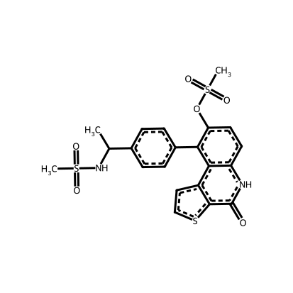 CC(NS(C)(=O)=O)c1ccc(-c2c(OS(C)(=O)=O)ccc3[nH]c(=O)c4sccc4c23)cc1